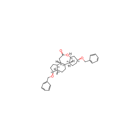 C[C@]12CC[C@@H]3[C@H]4CC[C@H](OCc5ccccc5)C[C@@H]4OC(=O)C[C@H]3[C@@H]1CC[C@@H]2OCc1ccccc1